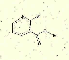 CCOC(=O)c1cccnc1Br